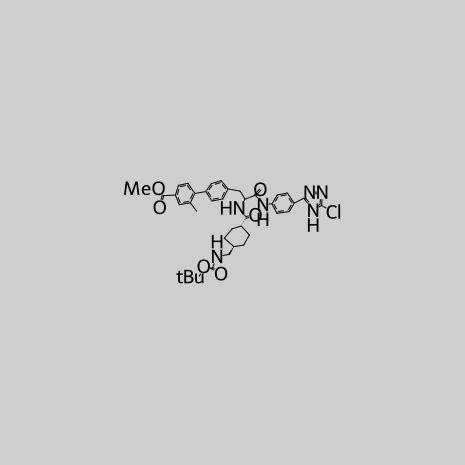 COC(=O)c1ccc(-c2ccc(CC(NC(=O)[C@H]3CC[C@H](CNC(=O)OC(C)(C)C)CC3)C(=O)Nc3ccc(-c4nnc(Cl)[nH]4)cc3)cc2)c(C)c1